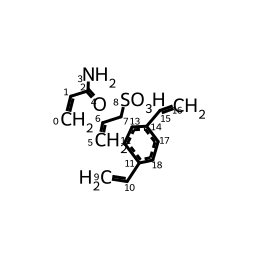 C=CC(N)=O.C=CCS(=O)(=O)O.C=Cc1ccc(C=C)cc1